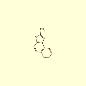 Cc1nc2c3c(ccc2s1)CCC=C3